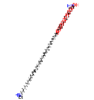 CCNCCCCCCCCCCCCCCCCCCCCCCCCCCCCCCCCCCCCCCCCCCCCOOOOOOOOOOOOOOOOOOONO